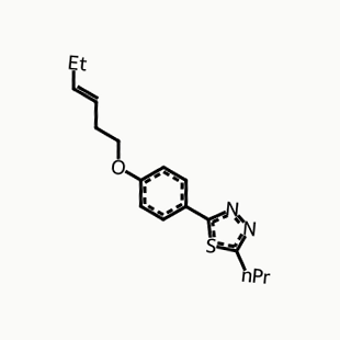 CCC=CCCOc1ccc(-c2nnc(CCC)s2)cc1